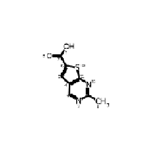 Cc1ncc2cc(C(=O)O)sc2n1